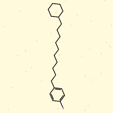 Ic1ccc(CCCCCCCCCCC2CCCCC2)cc1